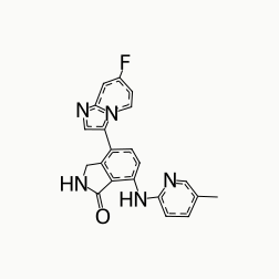 Cc1ccc(Nc2ccc(-c3cnc4cc(F)ccn34)c3c2C(=O)NC3)nc1